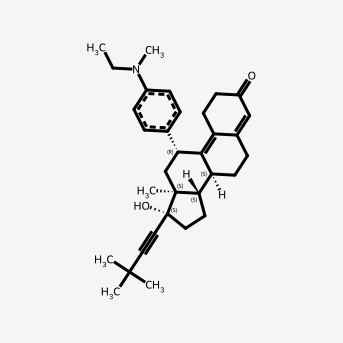 CCN(C)c1ccc([C@H]2C[C@@]3(C)[C@@H](CC[C@@]3(O)C#CC(C)(C)C)[C@@H]3CCC4=CC(=O)CCC4=C32)cc1